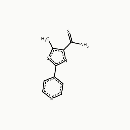 Cc1sc(-c2ccncc2)nc1C(N)=S